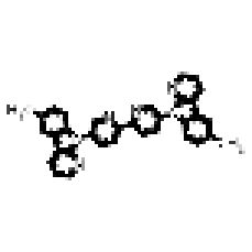 Cc1ccc2c(c1)c1cccnc1n2-c1ccc(-c2ccc(-n3c4ccc(C)cc4c4cccnc43)cn2)nc1